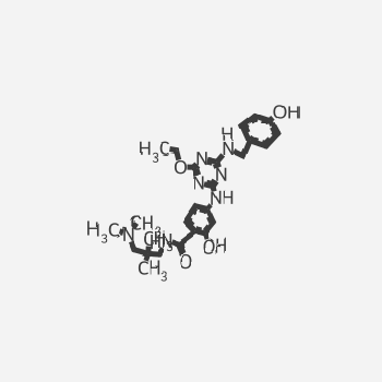 CCOc1nc(NCc2ccc(O)cc2)nc(Nc2ccc(C(=O)NCC(C)(C)CN(C)C)c(O)c2)n1